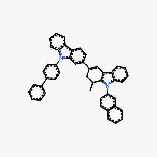 CC1CC(c2ccc3c4ccccc4n(-c4ccc(-c5ccccc5)cc4)c3c2)=Cc2c1n(-c1ccc3ccccc3c1)c1ccccc21